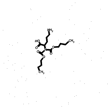 CCCCOC(=O)N(C(=O)OCCCC)C(CCCN)C(=O)O